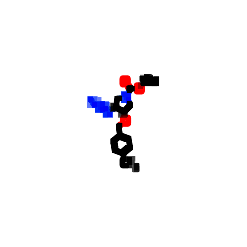 CC(C)(C)OC(=O)N1C[C@@H](N=[N+]=[N-])[C@H](OCc2ccc(C(F)(F)F)cc2)C1